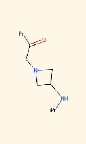 CC(C)NC1CN(CC(=O)C(C)C)C1